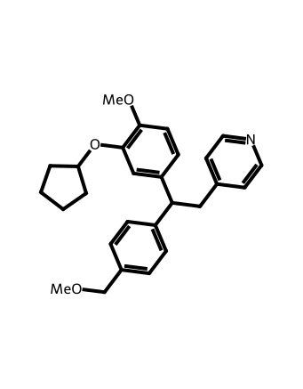 COCc1ccc(C(Cc2ccncc2)c2ccc(OC)c(OC3CCCC3)c2)cc1